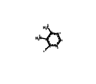 Cc1ncnc(I)c1N